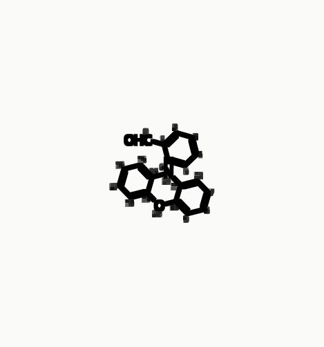 O=Cc1ccccc1.c1ccc2c(c1)Nc1ccccc1O2